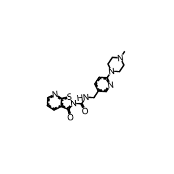 CN1CCN(c2ccc(CNC(=O)n3sc4ncccc4c3=O)cn2)CC1